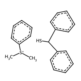 C[S+](C)c1ccccc1.SC(c1ccccc1)c1ccccc1